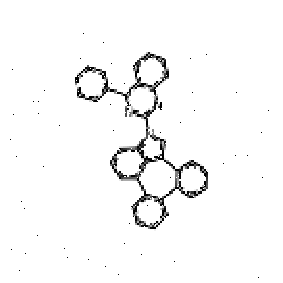 c1ccc(-c2nc(-n3cc4c5c(cccc53)-c3ccccc3-c3ccccc3-4)nc3ccccc23)cc1